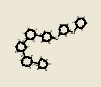 c1ccc(Oc2cccc(Oc3ccc(-c4cccc(-c5cccc(-c6cccc(-c7ccccc7)c6)c5)c4)cc3)c2)cc1